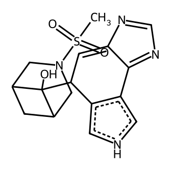 CS(=O)(=O)N1CC2CC(C1)C2(O)C1C=C2N=CN=C2c2c[nH]cc21